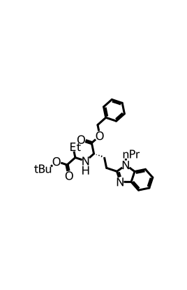 CCCn1c(CC[C@H](NC(CC)C(=O)OC(C)(C)C)C(=O)OCc2ccccc2)nc2ccccc21